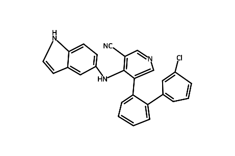 N#Cc1cncc(-c2ccccc2-c2cccc(Cl)c2)c1Nc1ccc2[nH]ccc2c1